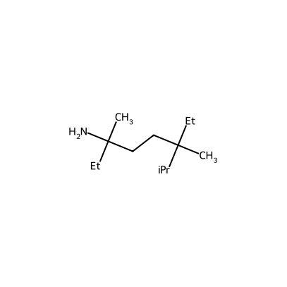 CCC(C)(N)CCC(C)(CC)C(C)C